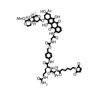 CO[C@H]1OCCN2[C@@H]1O[C@@H]1[C@H](C)OC(O[C@H]3C[C@](O)(C(C)=O)Cc4c(O)c5c(c(O)c43)C(=O)c3c(NC(=O)CNC(=O)OCc4ccc(NC(=O)[C@H](CCCNC(N)=O)NC(=O)[C@@H](NC(=O)CCCCCN6C(=O)C=CC6=O)C(C)C)cc4)cccc3C5=O)C[C@@H]12